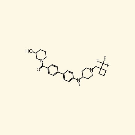 CN(c1ccc(-c2ccc(C(=O)N3CCC[C@H](O)C3)cc2)cc1)C1CCN(CC2(C(F)(F)F)CCC2)CC1